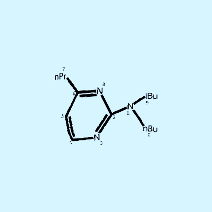 CCCCN(c1nccc(CCC)n1)C(C)CC